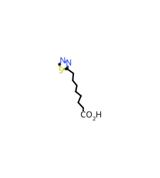 O=C(O)CCCCCCCc1nncs1